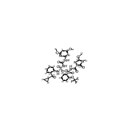 COc1cc(OC)nc(NC(=O)NS(=O)(=O)Nc2ccccc2C(=O)C2CC2)n1.COc1nn(C(=O)NS(=O)(=O)c2ccccc2OC(F)(F)F)c(=O)n1C